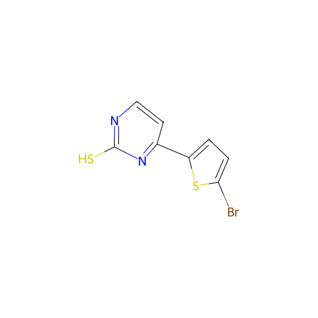 Sc1nccc(-c2ccc(Br)s2)n1